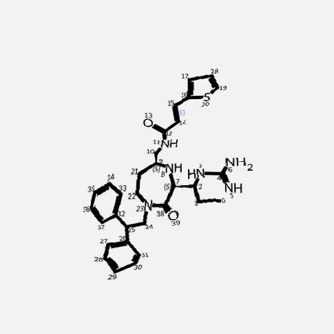 CCC(NC(=N)N)[C@@H]1N[C@H](CNC(=O)/C=C/c2cccs2)CCN(CC(c2ccccc2)c2ccccc2)C1=O